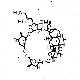 C=C1C[C@@H]2CC[C@@]34C[C@H]5O[C@H]6[C@@H](O3)[C@H]3OC(CC[C@@H]3O[C@H]6[C@H]5O4)CC(=O)C[C@H]3C(CC4OC(CCC1O2)C[C@@H](C)C4=C)OC(C[C@H](O)CN)[C@@H]3OC